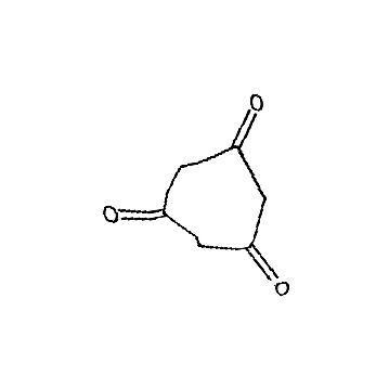 O=C1CC(=O)CC(=O)C1